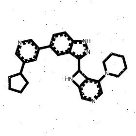 c1cc2[nH]nc(C3Nc4cncc(N5CCCCC5)c43)c2cc1-c1cncc(C2CCCC2)c1